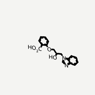 O=C(O)c1ccccc1OCC(O)Cn1cnc2ccccc21